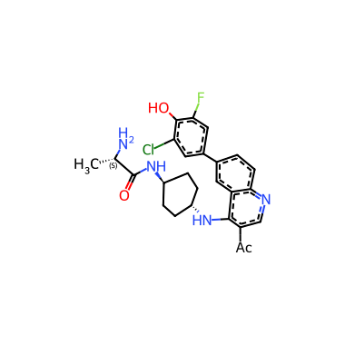 CC(=O)c1cnc2ccc(-c3cc(F)c(O)c(Cl)c3)cc2c1N[C@H]1CC[C@H](NC(=O)[C@H](C)N)CC1